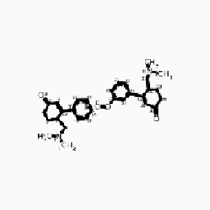 CN(C)CC1CCC(=O)C=C1c1ccccc1.COc1cccc(C2=CC(=O)CCC2CN(C)C)c1